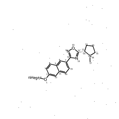 CCCCCCCOc1ccc2cc(-c3noc([C@@H]4CCCN4C)n3)ccc2c1